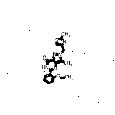 CCOc1ccccc1-c1nc2c(C)n(Cc3csc(C)n3)nc2c(=O)[nH]1